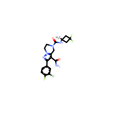 CC1(NC(=O)N2CCn3nc(-c4ccc(F)c(Cl)c4)c(C(N)=O)c3C2)CC(F)(F)C1